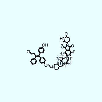 [2H]C1([2H])N(CC2CCN(CCOc3ccc(C(=C(CCCl)c4ccccc4)c4ccc(O)cc4)cc3)CC2)C([2H])([2H])C([2H])([2H])N(c2c(F)c(F)c3c(c2F)C(=O)N(C2CCC(=O)NC2=O)C3=O)C1([2H])[2H]